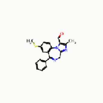 CSc1ccc2c(c1)C(c1ccccc1)=NCc1nc(C)c(C=O)n1-2